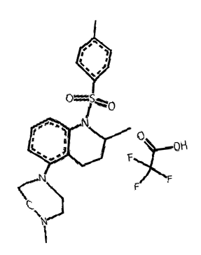 Cc1ccc(S(=O)(=O)N2c3cccc(N4CCN(C)CC4)c3CCC2C)cc1.O=C(O)C(F)(F)F